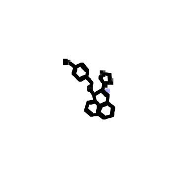 Brc1ccc(COC(/C(=C\c2ccccc2)n2cncn2)c2ccccc2)cc1